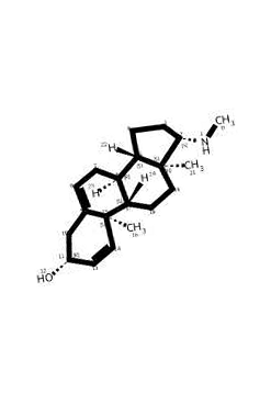 CN[C@H]1CC[C@H]2[C@@H]3CC=C4C[C@@H](O)C=C[C@]4(C)[C@H]3CC[C@]12C